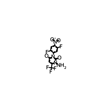 Nn1c(C(F)(F)F)cc(=O)n(-c2cc(F)c([N+](=O)[O-])cc2F)c1=O